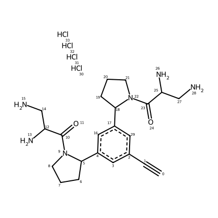 C#Cc1cc(C2CCCN2C(=O)C(N)CN)cc(C2CCCN2C(=O)C(N)CN)c1.Cl.Cl.Cl.Cl